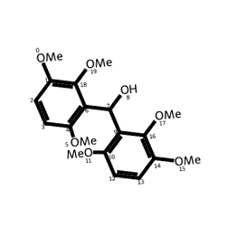 COc1ccc(OC)c(C(O)c2c(OC)ccc(OC)c2OC)c1OC